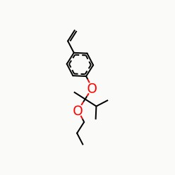 C=Cc1ccc(OC(C)(OCCC)C(C)C)cc1